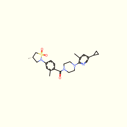 Cc1cc(N2C[C@H](C)CS2(=O)=O)ccc1C(=O)N1CCN(c2ncc(C3CC3)cc2C)CC1